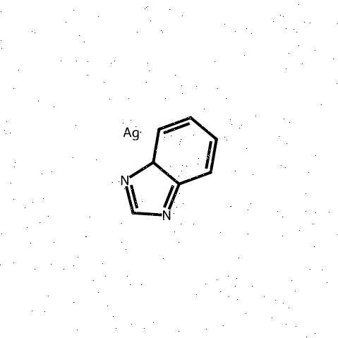 C1=CC2=NC=NC2C=C1.[Ag]